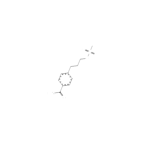 CS(=O)(=O)OCCCc1ccc(C(N)=O)cc1